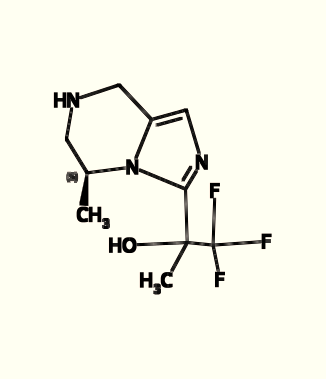 C[C@H]1CNCc2cnc(C(C)(O)C(F)(F)F)n21